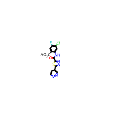 O=C(Nc1cc(Cl)c(F)cc1C(=O)O)c1nnc(-c2ccnnc2)s1